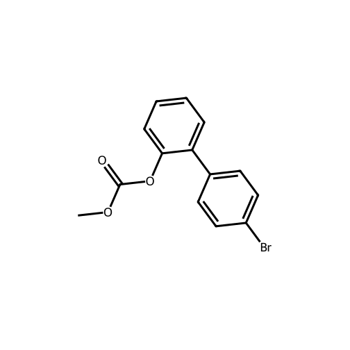 COC(=O)Oc1ccccc1-c1ccc(Br)cc1